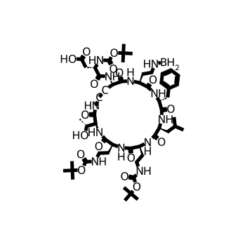 BNCC[C@@H]1NC(=O)[C@@H](NC(=O)[C@H](CC(=O)O)NC(=O)OC(C)(C)C)CCNC(=O)[C@H]([C@@H](C)O)NC(=O)[C@H](CCNC(=O)OC(C)(C)C)NC(=O)[C@H](CCNC(=O)OC(C)(C)C)NC(=O)[C@H](CC(C)C)NC(=O)[C@@H](Cc2ccccc2)NC1=O